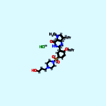 CCCOc1ccc(S(=O)(=O)N2CCN(CCCO)CC2)cc1-c1nc2c(CCC)cn(C)c2c(=O)[nH]1.Cl